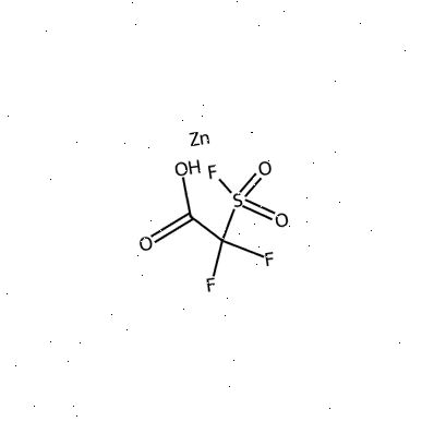 O=C(O)C(F)(F)S(=O)(=O)F.[Zn]